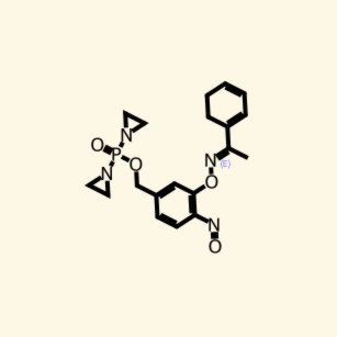 C/C(=N\Oc1cc(COP(=O)(N2CC2)N2CC2)ccc1N=O)C1=CC=CCC1